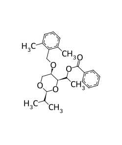 Cc1cccc(C)c1CO[C@@H]1CO[C@H](C(C)C)O[C@@H]1C(C)OC(=O)c1ccccc1